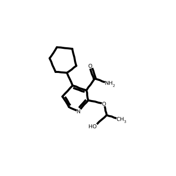 CC(O)Oc1nccc(C2CCCCC2)c1C(N)=O